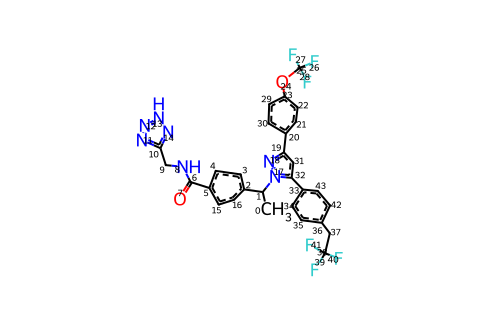 CC(c1ccc(C(=O)NCc2nn[nH]n2)cc1)n1nc(-c2ccc(OC(F)(F)F)cc2)cc1-c1ccc(CC(F)(F)F)cc1